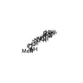 CNNC1=CC(COc2ccc3c(c2C)CCN(C[C@@H](O)CNC(=O)c2ccnc(NC4CCC4)c2)C3)=CCCC1